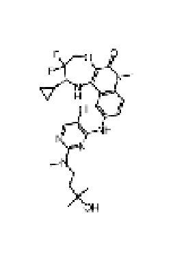 CN(CCC(C)(C)O)c1ncc(Cl)c(Nc2ccc3c(c2)c2c(c(=O)n3C)OCC(F)(F)[C@H](C3CC3)N2)n1